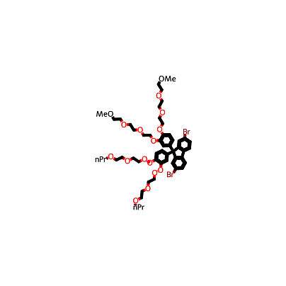 CCCOCCOCCOOc1ccc(C2(c3ccc(OCCOCCOCCOC)c(OCCOCCOCCOC)c3)c3cc(Br)ccc3-c3ccc(Br)cc32)cc1OOCCOCCOCCC